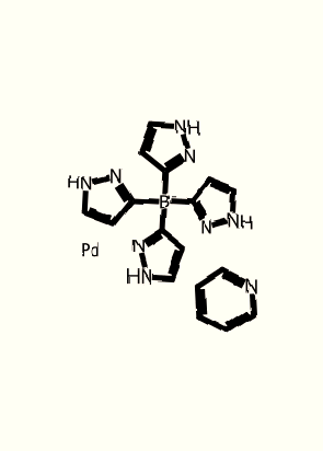 [Pd].c1cc([B-](c2cc[nH]n2)(c2cc[nH]n2)c2cc[nH]n2)n[nH]1.c1ccncc1